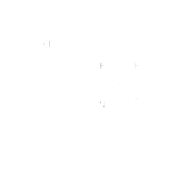 FC(F)(F)N1C=CCc2ccc(Cl)cc21